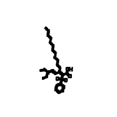 CCCCCCCCCCCCC(C=CN(CC)CC)=C(C(=O)O)S(=O)(=O)c1ccccc1